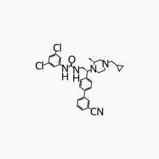 C[C@H]1CN(CC2CC2)CCN1[C@H](CNC(=O)Nc1cc(Cl)cc(Cl)c1)c1ccc(-c2cccc(C#N)c2)cc1